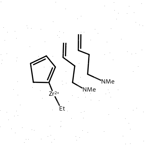 C=CCC[N-]C.C=CCC[N-]C.C[CH2][Zr+2][C]1=CC=CC1